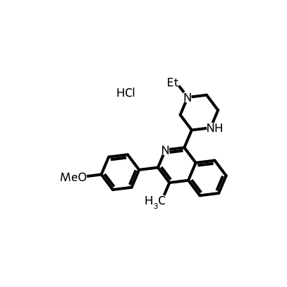 CCN1CCNC(c2nc(-c3ccc(OC)cc3)c(C)c3ccccc23)C1.Cl